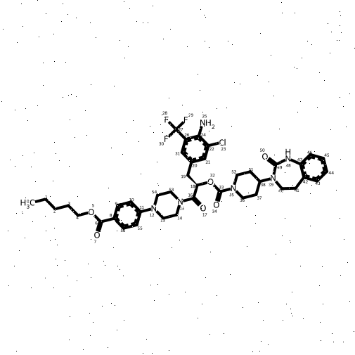 CCCCCOC(=O)c1ccc(N2CCN(C(=O)[C@@H](Cc3cc(Cl)c(N)c(C(F)(F)F)c3)OC(=O)N3CCC(N4CCc5ccccc5NC4=O)CC3)CC2)cc1